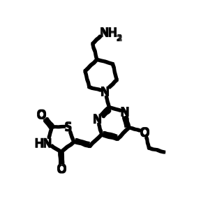 CCOc1cc(/C=C2\SC(=O)NC2=O)nc(N2CCC(CN)CC2)n1